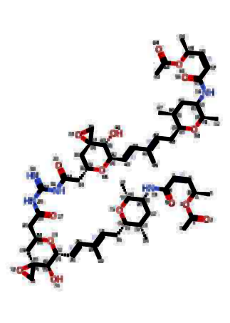 CC(=O)O[C@H](C)/C=C\C(=O)N[C@@H]1C[C@H](C)[C@H](C/C=C(C)/C=C/[C@H]2O[C@H](CC(=O)NC(=N)NC(=O)C[C@@H]3C[C@@]4(CO4)[C@H](O)[C@@H](/C=C/C(C)=C/C[C@@H]4O[C@H](C)[C@H](NC(=O)/C=C\[C@H](C)OC(C)=O)C[C@@H]4C)O3)C[C@@]3(CO3)[C@@H]2O)O[C@@H]1C